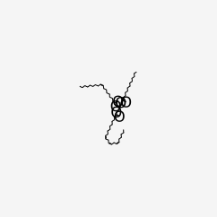 CCCCC/C=C\C/C=C\C/C=C\CCCCCCCCC(=O)OC[C@@H](COC(=O)CCCCCCCCCCCC)OC(=O)CCCCCCC/C=C\CCCCCCCC